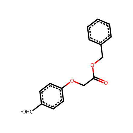 O=[C]c1ccc(OCC(=O)OCc2ccccc2)cc1